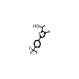 CC(O)c1sc(-c2ccc(C(F)(F)F)cc2)cc1I